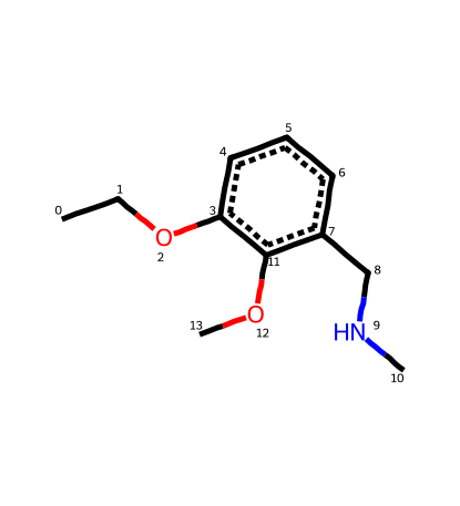 CCOc1cccc(CNC)c1OC